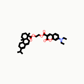 CCN(CC)c1ccc2cc(C(=O)OCCOC(=O)C3(C)CCCC4(C)C5CCC(C(C)C)=CC5=CCC34)c(=O)oc2c1